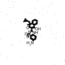 CC1(CC2CC2)C(=O)C(C2=NS(=O)(=O)c3cc(N)ccc3N2)=C(O)c2ccccc21